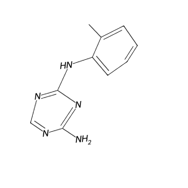 Cc1ccccc1Nc1ncnc(N)n1